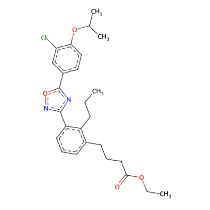 CCCc1c(CCCC(=O)OCC)cccc1-c1noc(-c2ccc(OC(C)C)c(Cl)c2)n1